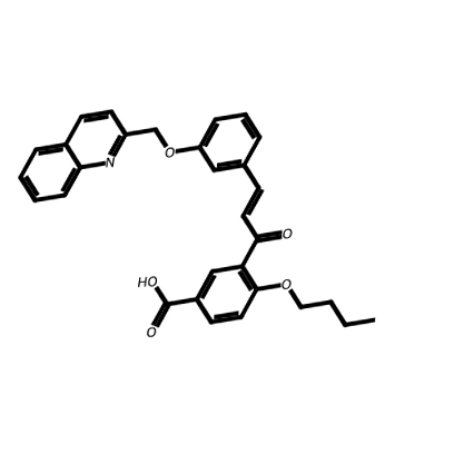 CCCCOc1ccc(C(=O)O)cc1C(=O)C=Cc1cccc(OCc2ccc3ccccc3n2)c1